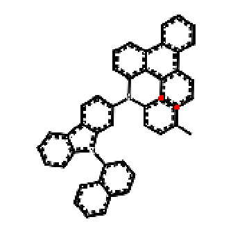 Cc1ccc(N(c2ccc3c4ccccc4n(-c4cccc5ccccc45)c3c2)c2cccc3c4ccccc4c4ccccc4c23)cc1